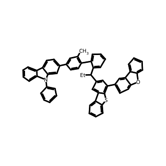 CCC(c1cc(-c2ccc3oc4ccccc4c3c2)c2sc3ccccc3c2c1)c1ccccc1-c1ccc(-c2ccc3c4ccccc4n(-c4ccccc4)c3c2)cc1C